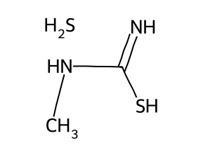 CNC(=N)S.S